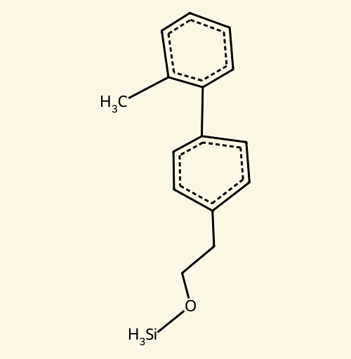 Cc1ccccc1-c1ccc(CCO[SiH3])cc1